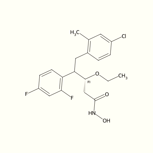 CCO[C@H](CC(=O)NO)C(Cc1ccc(Cl)cc1C)c1ccc(F)cc1F